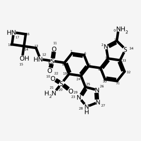 Nc1nc2c(-c3ccc(S(=O)(=O)NCC4(O)CNC4)c(S(N)(=O)=O)c3-c3nn[nH]n3)cccc2s1